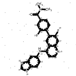 CN(C)C(=O)c1ccc(-c2cc3c(Nc4ccc5scnc5c4)ccnc3cc2F)c(F)c1